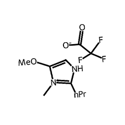 CCCc1[nH]cc(OC)[n+]1C.O=C([O-])C(F)(F)F